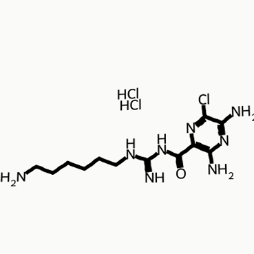 Cl.Cl.N=C(NCCCCCCN)NC(=O)c1nc(Cl)c(N)nc1N